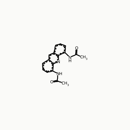 CC(=O)Nc1cccc2cc3cccc(NC(C)=O)c3nc12